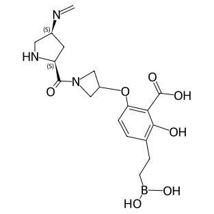 C=N[C@@H]1CN[C@H](C(=O)N2CC(Oc3ccc(CCB(O)O)c(O)c3C(=O)O)C2)C1